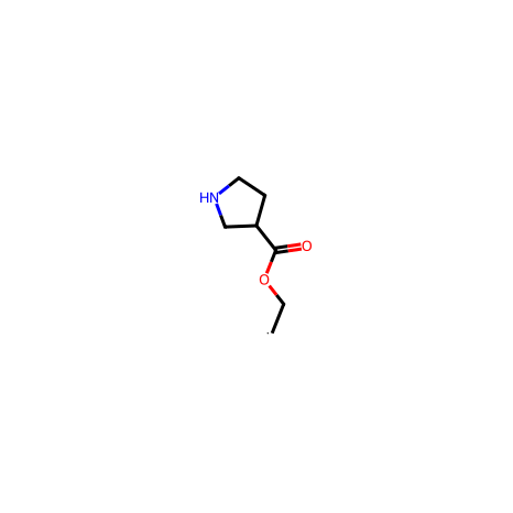 [CH2]COC(=O)C1CCNC1